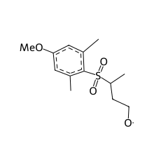 COc1cc(C)c(S(=O)(=O)C(C)CC[O])c(C)c1